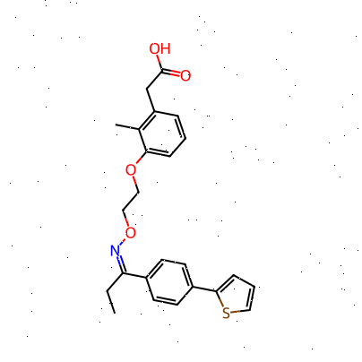 CCC(=NOCCOc1cccc(CC(=O)O)c1C)c1ccc(-c2cccs2)cc1